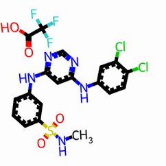 CNS(=O)(=O)c1cccc(Nc2cc(Nc3ccc(Cl)c(Cl)c3)ncn2)c1.O=C(O)C(F)(F)F